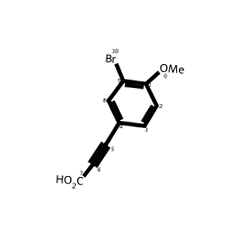 COc1ccc(C#CC(=O)O)cc1Br